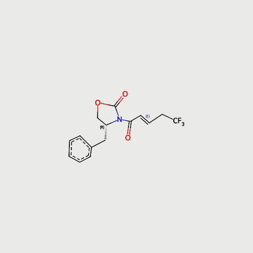 O=C(/C=C/CC(F)(F)F)N1C(=O)OC[C@H]1Cc1ccccc1